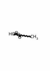 CCCCCCCCCC(=O)OCC(=O)CO